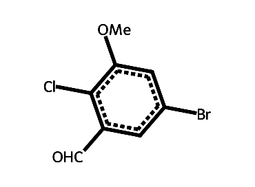 COc1cc(Br)cc(C=O)c1Cl